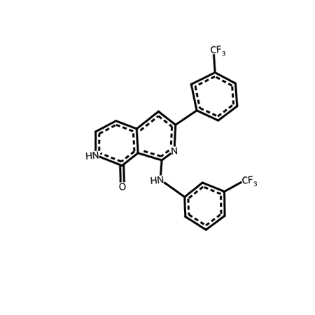 O=c1[nH]ccc2cc(-c3cccc(C(F)(F)F)c3)nc(Nc3cccc(C(F)(F)F)c3)c12